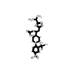 CC(C)c1nc(CC(NC(=O)O)C2CCN(c3ccc([N+](=O)[O-])cc3C(F)(F)F)CC2)no1